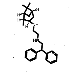 C[C@@H]1[C@H]2C[C@@H](C[C@H]1NCCNCC(c1ccccc1)c1ccccc1)C2(C)C